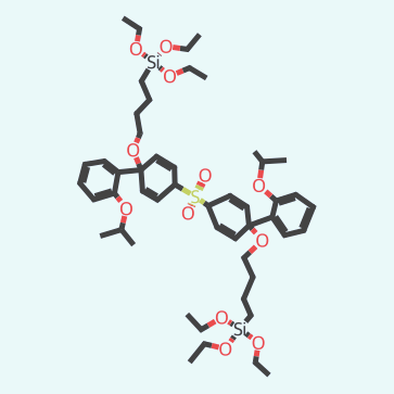 CCO[Si](CCCCOC1(c2ccccc2OC(C)C)C=CC(S(=O)(=O)C2C=CC(OCCCC[Si](OCC)(OCC)OCC)(c3ccccc3OC(C)C)C=C2)C=C1)(OCC)OCC